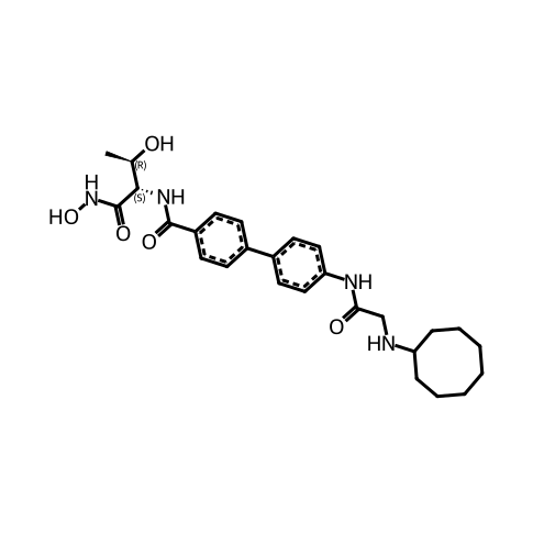 C[C@@H](O)[C@H](NC(=O)c1ccc(-c2ccc(NC(=O)CNC3CCCCCCC3)cc2)cc1)C(=O)NO